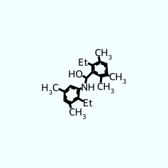 CCc1c(C)cc(C)cc1NC(O)c1c(C)c(C)cc(C)c1CC